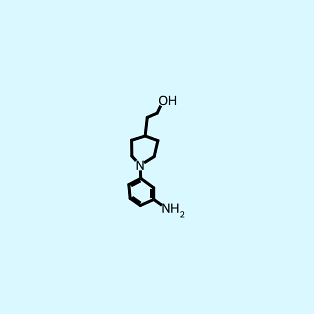 Nc1cccc(N2CCC(CCO)CC2)c1